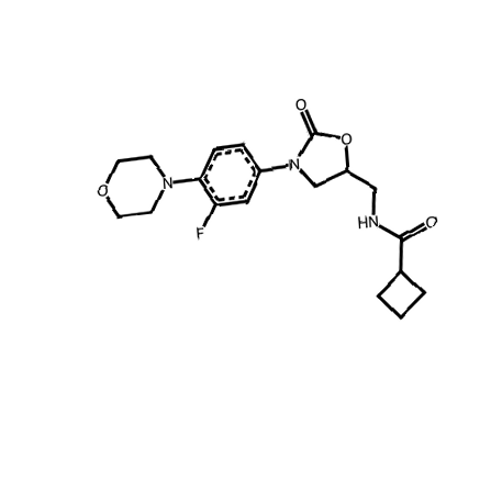 O=C(NCC1CN(c2ccc(N3CCOCC3)c(F)c2)C(=O)O1)C1CCC1